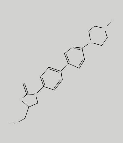 CC(=O)NCC1CN(c2ccc(-c3ccc(N4CC[S+]([O-])CC4)nc3)cc2)C(=O)O1